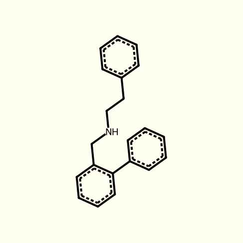 c1ccc(CCNCc2ccccc2-c2ccccc2)cc1